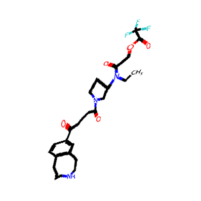 CCN(C(=O)COC(=O)C(F)(F)F)C1CCN(C(=O)CCC(=O)c2ccc3c(c2)CCNCC3)C1